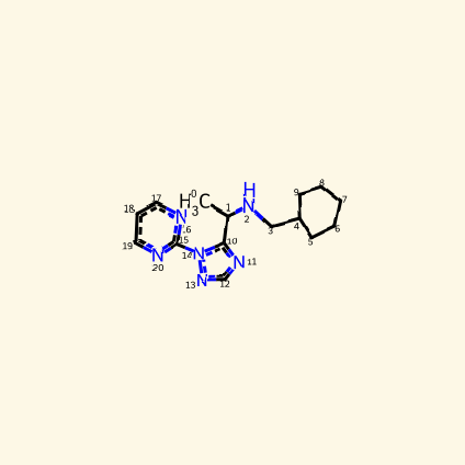 CC(NCC1CCCCC1)c1ncnn1-c1ncccn1